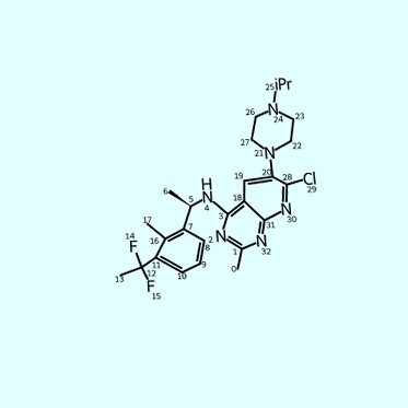 Cc1nc(N[C@H](C)c2cccc(C(C)(F)F)c2C)c2cc(N3CCN(C(C)C)CC3)c(Cl)nc2n1